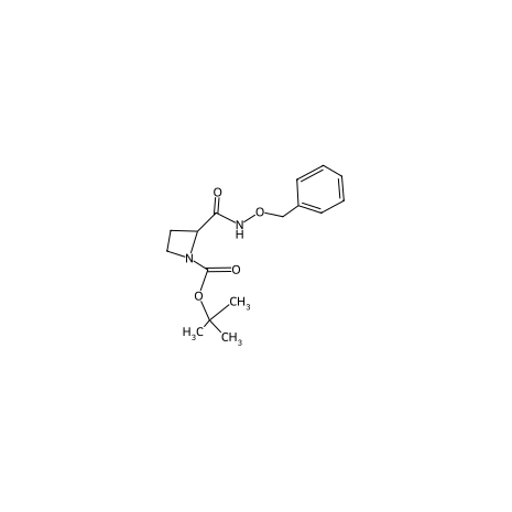 CC(C)(C)OC(=O)N1CCC1C(=O)NOCc1ccccc1